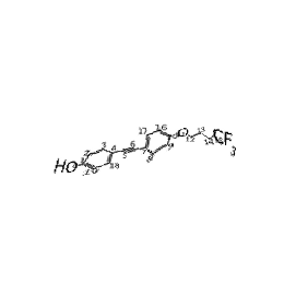 Oc1ccc(C#Cc2ccc(OCCCC(F)(F)F)cc2)cc1